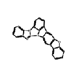 c1ccc2c(c1)nc1n2c2cccc3c4cc5oc6ccccc6c5cc4n1c32